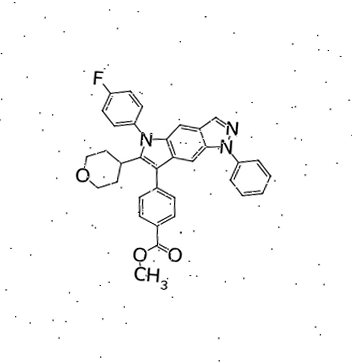 COC(=O)c1ccc(-c2c(C3CCOCC3)n(-c3ccc(F)cc3)c3cc4cnn(-c5ccccc5)c4cc23)cc1